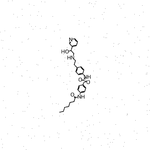 CCCCCCC(=O)Nc1ccc(S(=O)(=O)Nc2ccc(CCNCC(O)c3cccnc3)cc2)cc1